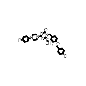 COc1nc(N2CCN(c3ccc(F)cc3)CC2)nc(=O)n1Cc1ccc(OCc2ccc(Cl)cc2)cc1